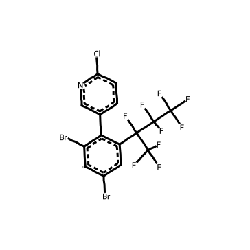 FC(F)(F)C(F)(F)C(F)(c1cc(Br)[c]c(Br)c1-c1ccc(Cl)nc1)C(F)(F)F